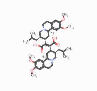 COc1cc2c(cc1OC)[C@H]1C[C@@H](/C(C(=O)O)=C(\C(=O)O)[C@@H]3C[C@@H]4c5cc(OC)c(OC)cc5CCN4C[C@@H]3CC(C)C)[C@@H](CC(C)C)CN1CC2